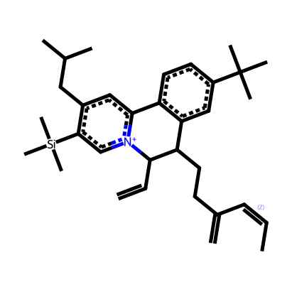 C=CC1C(CCC(=C)/C=C\C)c2cc(C(C)(C)C)ccc2-c2cc(CC(C)C)c([Si](C)(C)C)c[n+]21